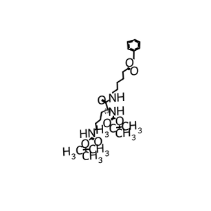 CC(C)(C)OC(=O)NCCCC[C@H](NC(=O)OC(C)(C)C)C(=O)NCCCCCC(=O)OCc1ccccc1